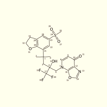 CC(C)(CC(O)(Cn1ccc(=O)c2ncoc21)C(F)(F)F)c1cc(S(C)(=O)=O)cc2c1OCC2